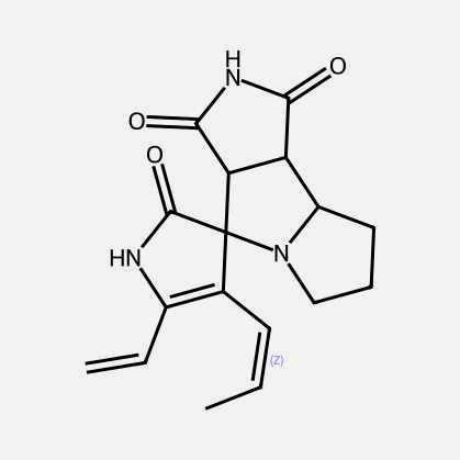 C=CC1=C(/C=C\C)C2(C(=O)N1)C1C(=O)NC(=O)C1C1CCCN12